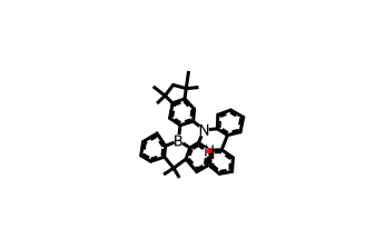 CC1(C)CC(C)(C)c2cc3c(cc21)B1c2ccccc2C(C)(C)c2ccnc(c21)N3c1ccccc1-c1ccccc1